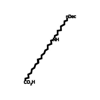 CCCCCCCCCCCCCCCCCCNCCCCCCCCC=CCCCCCCCC(=O)O